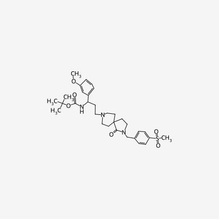 COc1cccc(C(CCN2CCC3(CC2)CCN(Cc2ccc(S(C)(=O)=O)cc2)C3=O)NC(=O)OC(C)(C)C)c1